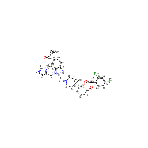 CCn1cncc1Cn1c(CN2CCC3(c4cccc5c4OC(C)(c4ccc(Cl)cc4F)O5)CC3C2)nc2ccc(C(=O)OC)cc21